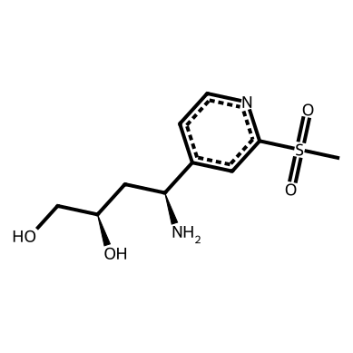 CS(=O)(=O)c1cc([C@@H](N)C[C@@H](O)CO)ccn1